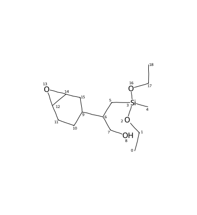 CCO[Si](C)(CC(CO)C1CCC2OC2C1)OCC